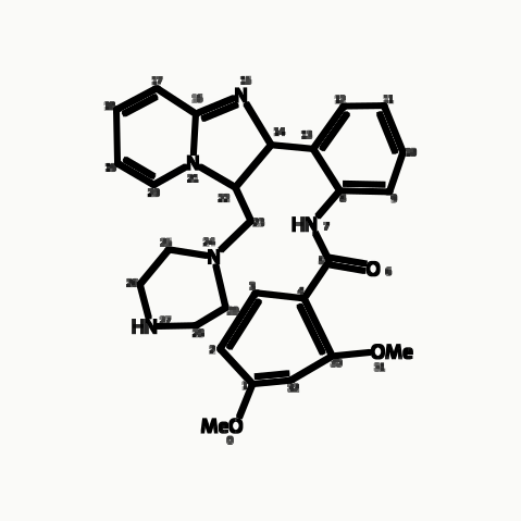 COc1ccc(C(=O)Nc2ccccc2C2N=C3C=CC=CN3C2CN2CCNCC2)c(OC)c1